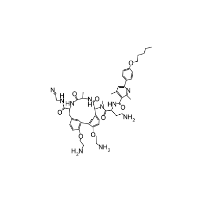 CCCCCOc1ccc(-c2cc(C)c(C(=O)NC(CCN)C(=O)N(C)C3C(=O)NC(C)C(=O)NC(C(=O)NCC#N)Cc4ccc(OCCN)c(c4)-c4cc3ccc4OCCN)c(C)n2)cc1